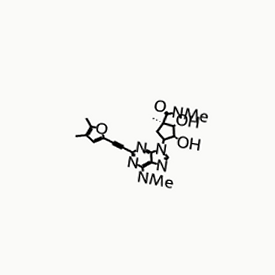 CNC(=O)[C@]1(C)CC(n2cnc3c(NC)nc(C#Cc4cc(C)c(C)o4)nc32)[C@H](O)[C@@H]1O